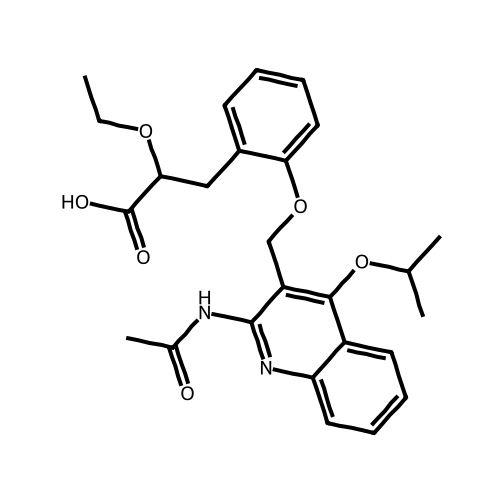 CCOC(Cc1ccccc1OCc1c(NC(C)=O)nc2ccccc2c1OC(C)C)C(=O)O